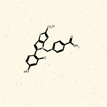 NC(=O)c1ccc(Cn2c(-c3ccc(O)cc3Cl)cc3sc(C(=O)O)cc32)cc1